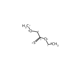 CCOC(=S)COC